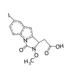 CON1C(=O)n2c(cc3cc(I)ccc32)C1CC(=O)O